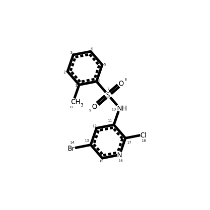 Cc1ccccc1S(=O)(=O)Nc1cc(Br)cnc1Cl